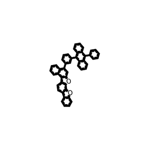 c1ccc(-c2c3ccccc3c(-c3cccc(-c4cc5oc6c(ccc7c8ccccc8oc76)c5c5ccccc45)c3)c3ccccc23)cc1